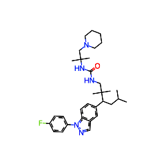 CC(C)CC(c1ccc2c(cnn2-c2ccc(F)cc2)c1)C(C)(C)CNC(=O)NC(C)(C)CN1CCCCC1